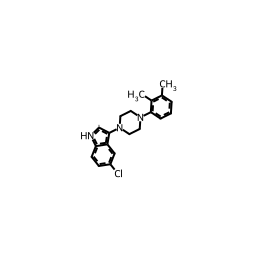 Cc1cccc(N2CCN(c3[c][nH]c4ccc(Cl)cc34)CC2)c1C